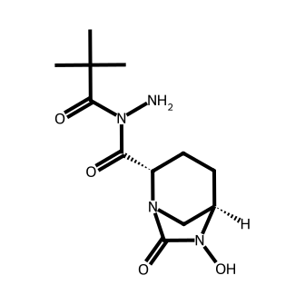 CC(C)(C)C(=O)N(N)C(=O)[C@@H]1CC[C@@H]2CN1C(=O)N2O